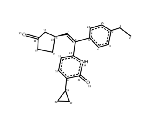 CCc1ccc(C(=C[C@H]2CCC(=O)C2)c2ccc(C3CC3)c(=O)[nH]2)cc1